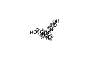 O=C(O)Cc1ccc(CN(Cc2ccc(CC(=O)O)cn2)C(c2ccccn2)c2ccccn2)nc1